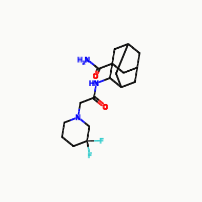 NC(=O)C12CC3CC(CC(C3)C1NC(=O)CN1CCCC(F)(F)C1)C2